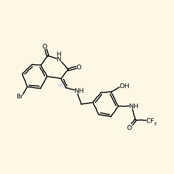 O=C1NC(=O)c2ccc(Br)cc2/C1=C/NCc1ccc(NC(=O)C(F)(F)F)c(O)c1